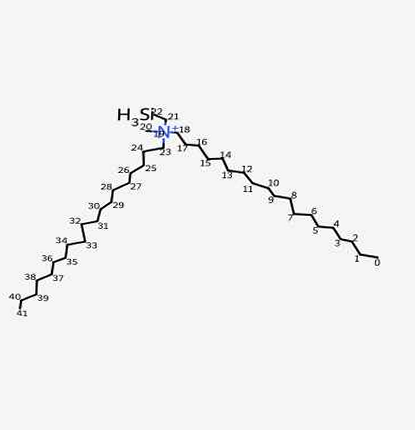 CCCCCCCCCCCCCCCCCCC[N+](C)(C[SiH3])CCCCCCCCCCCCCCCCCCC